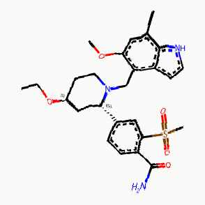 CCO[C@H]1CCN(Cc2c(OC)cc(C)c3[nH]ccc23)[C@H](c2ccc(C(N)=O)c(S(C)(=O)=O)c2)C1